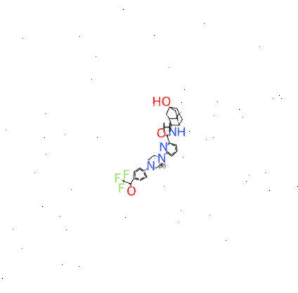 C[C@@H]1CN(c2ccc(C(=O)C(F)(F)F)cc2)CCN1c1cccc(C(=O)N[C@H]2C3CC4CC2C[C@](O)(C4)C3)n1